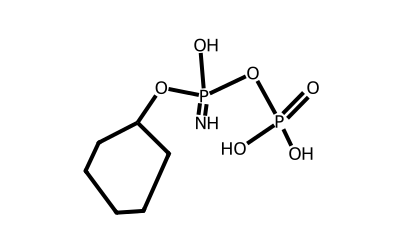 N=P(O)(OC1CCCCC1)OP(=O)(O)O